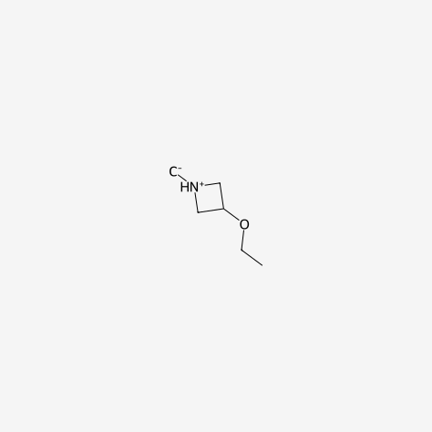 [CH2-][NH+]1CC(OCC)C1